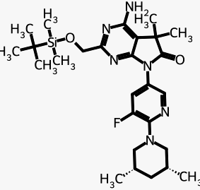 C[C@@H]1C[C@H](C)CN(c2ncc(N3C(=O)C(C)(C)c4c(N)nc(CO[Si](C)(C)C(C)(C)C)nc43)cc2F)C1